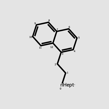 CCCCCC[CH]CCc1cccc2ccccc12